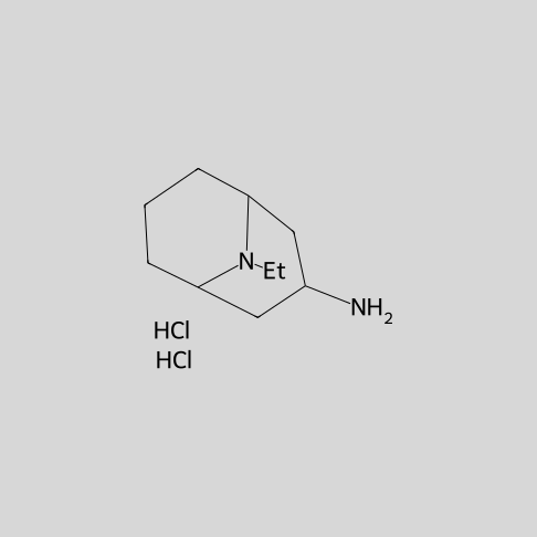 CCN1C2CCCC1CC(N)C2.Cl.Cl